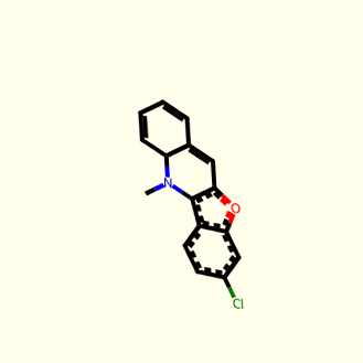 CN1c2c(oc3cc(Cl)ccc23)C=C2C=CC=CC21